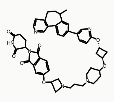 CC1CCc2ccncc2-c2ccc(-c3ccc(O[C@H]4C[C@H](OC5CCN(CCCN6CC(Oc7ccc8c(c7)C(=O)N(C7CCC(=O)NC7=O)C8=O)C6)CC5)C4)nc3)cc21